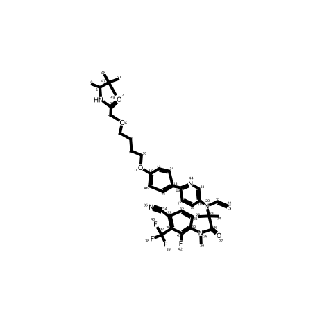 CC(NC(=O)COCCCCOc1ccc(-c2ccc(N(C=S)C(C)(C)C(=O)N(C)c3ccc(C#N)c(C(F)(F)F)c3F)cn2)cc1)C(C)(C)C